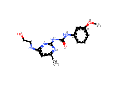 Cc1cc(NCCO)nc(NC(=O)Nc2cccc(OC(F)(F)F)c2)n1